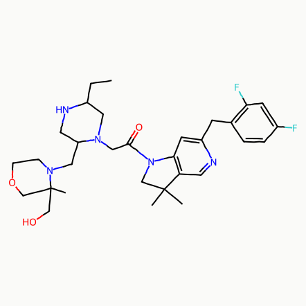 CCC1CN(CC(=O)N2CC(C)(C)c3cnc(Cc4ccc(F)cc4F)cc32)C(CN2CCOCC2(C)CO)CN1